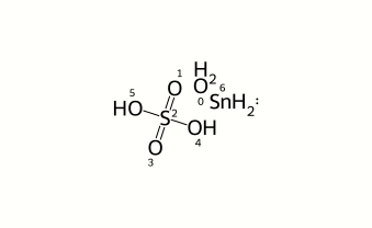 O.O=S(=O)(O)O.[SnH2]